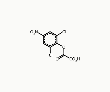 O=C(O)C(=O)Oc1c(Cl)cc([N+](=O)[O-])cc1Cl